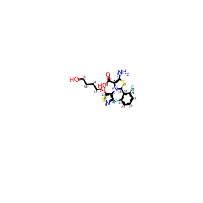 NC1=C(C(=O)O)N(c2cnsc2OCCCCO)C(c2c(F)cccc2F)S1